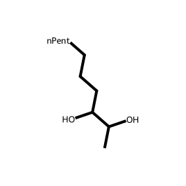 CCCCCCCCC(O)C(C)O